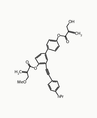 C=C(CO)C(=O)Oc1ccc(-c2ccc(OC(=O)C(=C)COC)c(C#Cc3ccc(CCC)cc3)c2)cc1